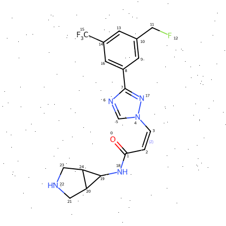 O=C(/C=C\n1cnc(-c2cc(CF)cc(C(F)(F)F)c2)n1)NC1C2CNCC21